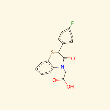 O=C(O)CN1C(=O)C(c2ccc(F)cc2)Sc2ccccc21